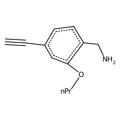 C#Cc1ccc(CN)c(OCCC)c1